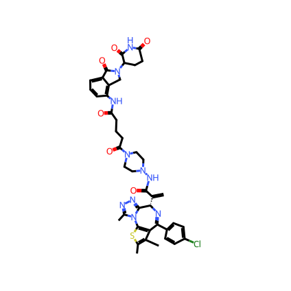 C=C(C(=O)NN1CCN(C(=O)CCCC(=O)Nc2cccc3c2CN(C2CCC(=O)NC2=O)C3=O)CC1)[C@@H]1N=C(c2ccc(Cl)cc2)c2c(sc(C)c2C)-n2c(C)nnc21